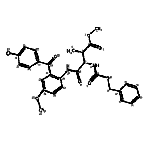 COC(=O)[C@H](C)[C@H](NC(=O)OCc1ccccc1)C(=O)Nc1ccc(OC)cc1C(=O)c1ccc(Cl)cc1